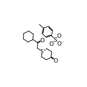 Cc1ccc(S(=O)(=O)[O-])cc1.O=C1CC[S+](CC(=O)C2CCCCC2)CC1